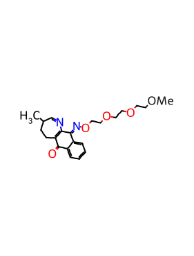 COCCOCCOCCO/N=C1/C2=C(CCC(C)C=N2)C(=O)c2ccccc21